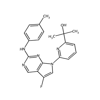 Cc1ccc(Nc2ncc3c(F)cn(-c4cccc(C(C)(C)O)n4)c3n2)cc1